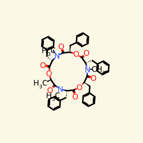 C[C@H]1OC(=O)[C@H](Cc2ccccc2)N(C)C(=O)[C@@H](Cc2ccccc2)OC(=O)[C@H](Cc2ccccc2)N(C)C(=O)[C@@H](Cc2ccccc2)OC(=O)[C@H](Cc2ccccc2)N(C)C1=O